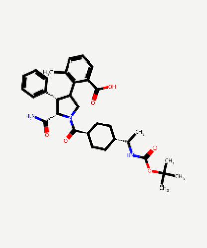 Cc1cccc(C(=O)O)c1C1CN(C(=O)[C@H]2CC[C@H](C(C)NC(=O)OC(C)(C)C)CC2)[C@H](C(N)=O)[C@@H]1c1ccccc1